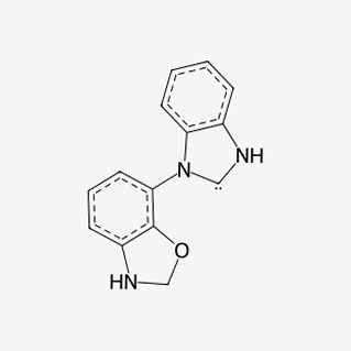 [C]1Nc2ccccc2N1c1cccc2c1OCN2